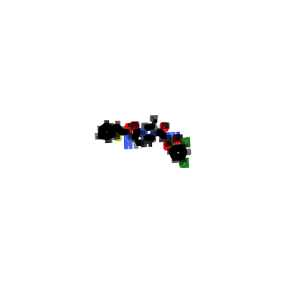 CC(C)C[C@H](NC(=O)c1cc2ccccc2s1)C(=O)N1CCN(C(=O)CNS(=O)(=O)c2ccc(Cl)cc2Cl)[C@@H](C)C1